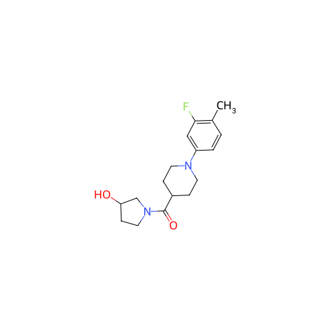 Cc1ccc(N2CCC(C(=O)N3CCC(O)C3)CC2)cc1F